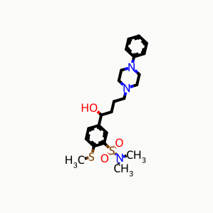 CSc1ccc(C(O)CCCN2CCN(c3ccccc3)CC2)cc1S(=O)(=O)N(C)C